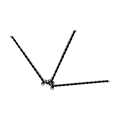 C#CC#CC#CC#CC#CC#CC#CC#CC#CC#CC#CC#CC#CC#CC(=O)OCC(COC(=O)C#CC#CC#CC#CC#CC#CC#CC#CC#CC#CC#CC#CC#CC#C)OC(=O)C#CC#CC#CC#CC#CC#CC#CC#CC#CC#CC#CC#CC#CC#C